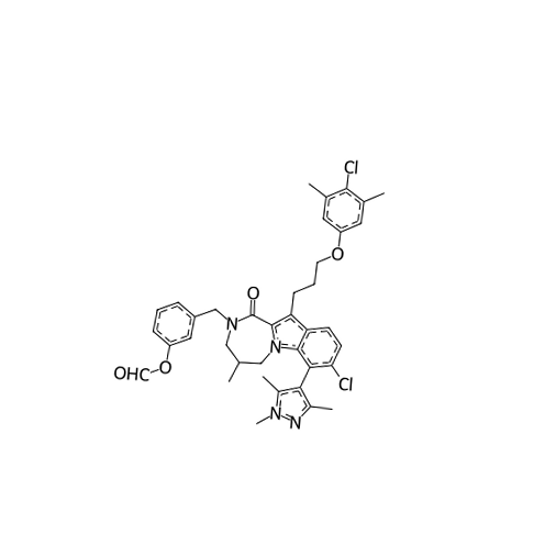 Cc1cc(OCCCc2c3n(c4c(-c5c(C)nn(C)c5C)c(Cl)ccc24)CC(C)CN(Cc2cccc(OC=O)c2)C3=O)cc(C)c1Cl